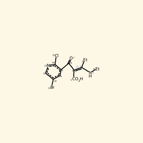 CCN/C(CC)=C(\C(=O)O)C(=O)c1cc(Br)cnc1Cl